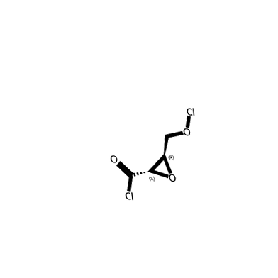 O=C(Cl)[C@H]1O[C@@H]1COCl